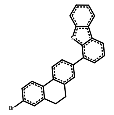 Brc1ccc2c(c1)CCc1cc(-c3cccc4c3sc3ccccc34)ccc1-2